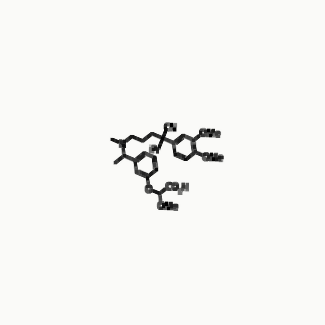 COc1ccc(C(C#N)(CCCN(C)C(C)c2cccc(OC(OC)C(=O)O)c2)C(C)C)cc1OC